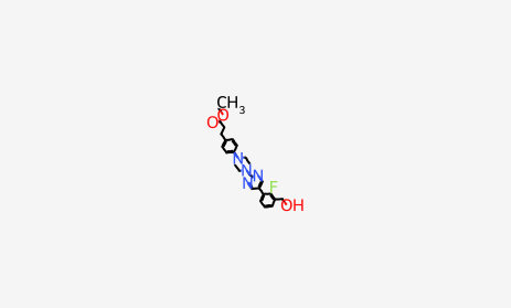 CCOC(=O)CCc1ccc(N2CCN(c3ncc(-c4cccc(CO)c4F)cn3)CC2)cc1